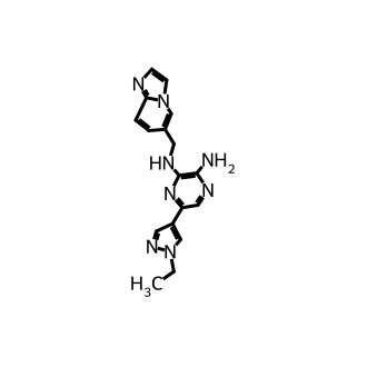 CCn1cc(-c2cnc(N)c(NCc3ccc4nccn4c3)n2)cn1